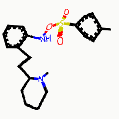 Cc1ccc(S(=O)(=O)ONc2ccccc2CCC2CCCCN2C)cc1